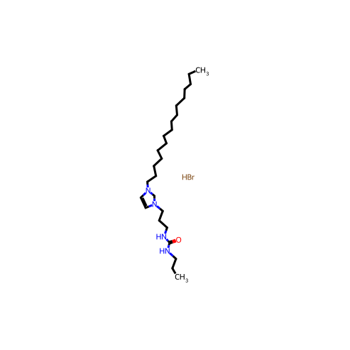 Br.CCCCCCCCCCCCCCCCN1C=CN(CCCNC(=O)NCCC)C1